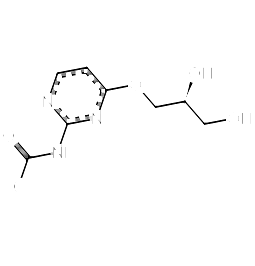 CC(=O)Nc1nccc(OC[C@@H](O)CO)n1